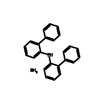 B.c1ccc(-c2ccccc2Pc2ccccc2-c2ccccc2)cc1